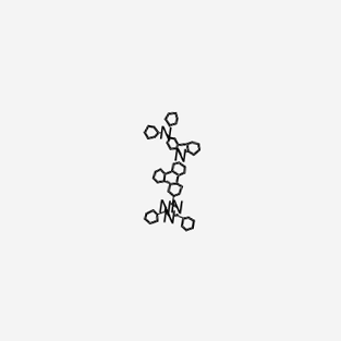 c1ccc(-c2nc(-c3ccccc3)nc(-c3ccc4c5ccc(-n6c7ccccc7c7cc(N(c8ccccc8)c8ccccc8)ccc76)cc5c5ccccc5c4c3)n2)cc1